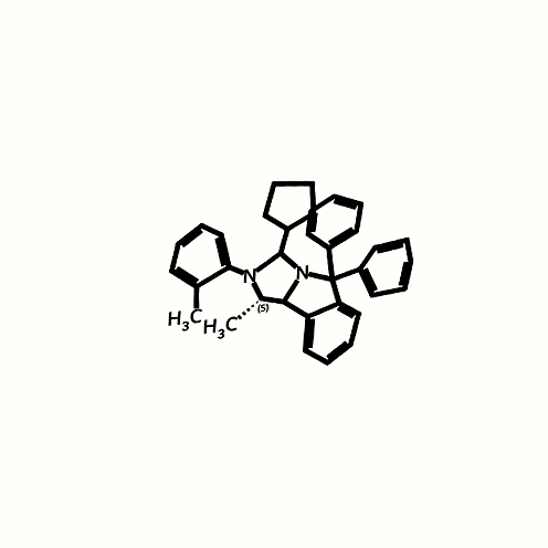 Cc1ccccc1N1C(C2CCCC2)N2C(c3ccccc3C2(c2ccccc2)c2ccccc2)[C@@H]1C